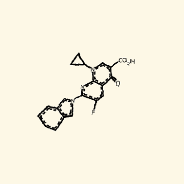 O=C(O)c1cn(C2CC2)c2nc(-n3cc4ccccc4c3)c(F)cc2c1=O